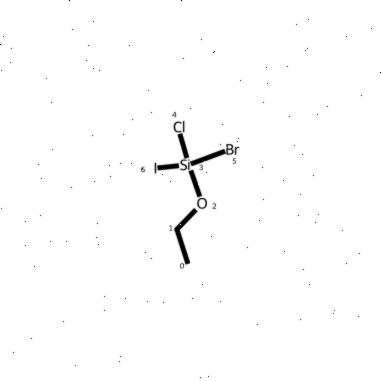 CCO[Si](Cl)(Br)I